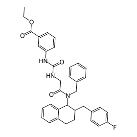 CCOC(=O)c1cccc(NC(=O)NCC(=O)N(Cc2ccccc2)C2c3ccccc3CCC2Cc2ccc(F)cc2)c1